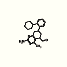 Cc1nc(N)nc2c1C(C=O)CC(c1ccccc1C1CCCCC1)C2